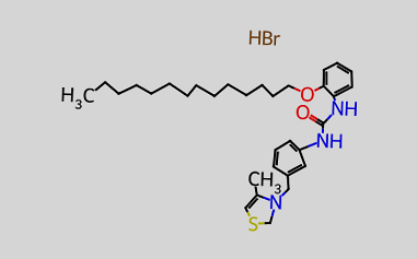 Br.CCCCCCCCCCCCCCOc1ccccc1NC(=O)Nc1cccc(CN2CSC=C2C)c1